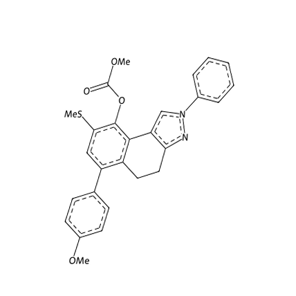 COC(=O)Oc1c(SC)cc(-c2ccc(OC)cc2)c2c1-c1cn(-c3ccccc3)nc1CC2